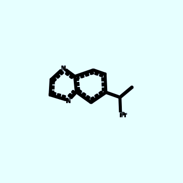 CC(C)C(C)c1ccc2nccnc2c1